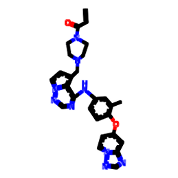 C=CC(=O)N1CCN(Cc2ccn3ncnc(Nc4ccc(Oc5ccn6ncnc6c5)c(C)c4)c23)CC1